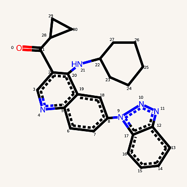 O=C(c1cnc2ccc(-n3nnc4ccccc43)cc2c1NC1CCCCC1)C1CC1